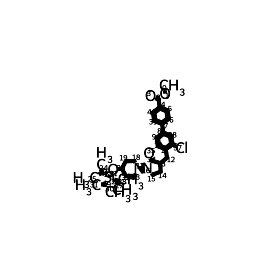 COC(=O)c1ccc(-c2ccc(CC3CCN(N4CCC(O[Si](C(C)C)(C(C)C)C(C)C)CC4)C3=O)c(Cl)c2)cc1